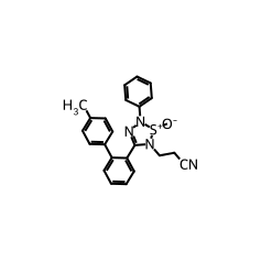 Cc1ccc(-c2ccccc2C2=NN(c3ccccc3)[S+]([O-])N2CCC#N)cc1